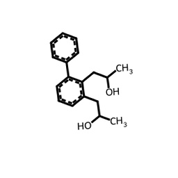 CC(O)Cc1cccc(-c2ccccc2)c1CC(C)O